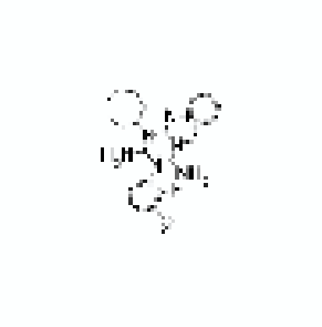 COc1cccc(N2C(N)N(Cc3ccccc3)C(N)N(C3CCCCCC3)C2N)c1F